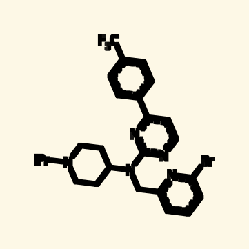 CC(C)N1CCC(N(Cc2cccc(Br)n2)c2nccc(-c3ccc(C(F)(F)F)cc3)n2)CC1